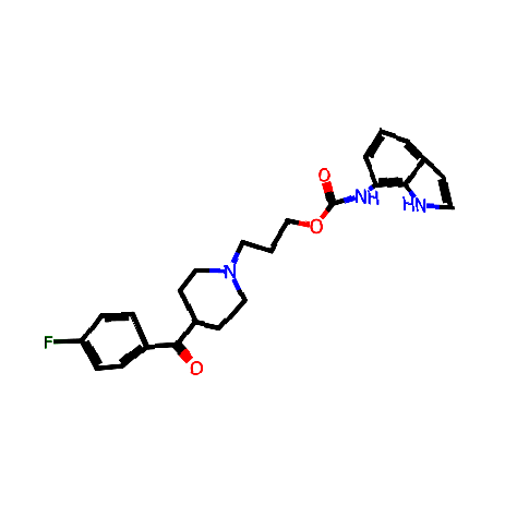 O=C(Nc1cccc2cc[nH]c12)OCCCN1CCC(C(=O)c2ccc(F)cc2)CC1